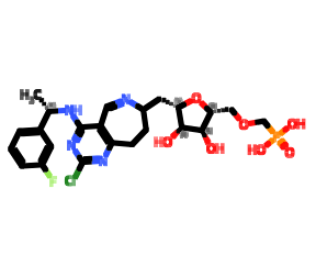 C[C@H](Nc1nc(Cl)nc2c1C=NC(C[C@@H]1O[C@H](COCP(=O)(O)O)[C@@H](O)[C@H]1O)CC2)c1cccc(F)c1